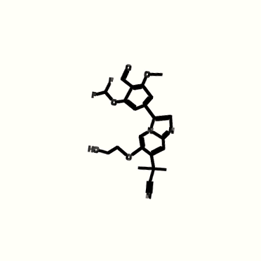 COc1cc(-c2cnc3cc(C(C)(C)C#N)c(OCCO)cn23)cc(OC(F)F)c1C=O